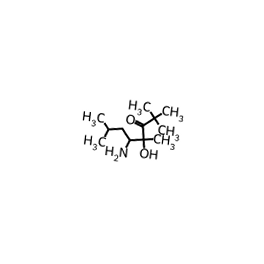 CC(C)CC(N)C(C)(O)C(=O)C(C)(C)C